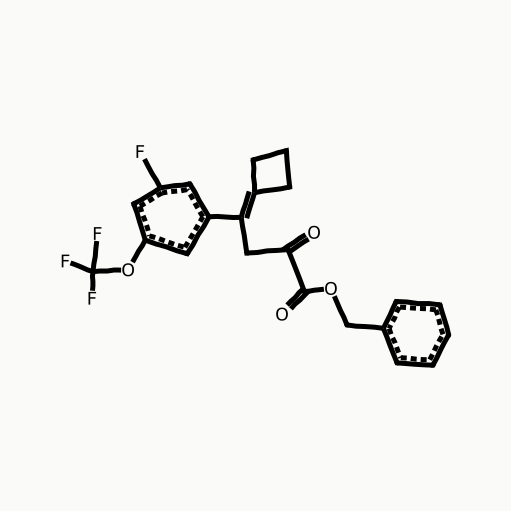 O=C(CC(=C1CCC1)c1cc(F)cc(OC(F)(F)F)c1)C(=O)OCc1ccccc1